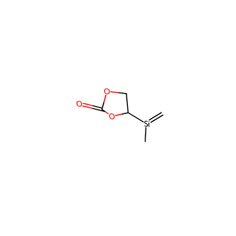 C=[Si](C)C1COC(=O)O1